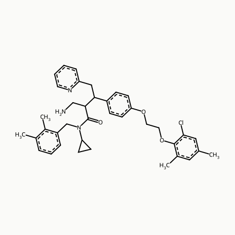 Cc1cc(C)c(OCCOc2ccc(C(Cc3ccccn3)C(CN)C(=O)N(Cc3cccc(C)c3C)C3CC3)cc2)c(Cl)c1